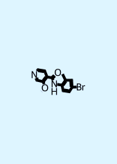 COc1cnccc1C(=O)Nc1ccc(Br)cc1C